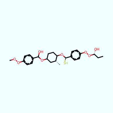 CC[C@@H](O)OOc1ccc([C@@H](S)OC2CCC(OC(O)c3ccc(OOC)cc3)C[C@H]2C)cc1